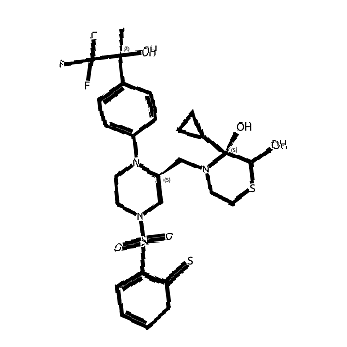 C[C@@](O)(c1ccc(N2CCN(S(=O)(=O)C3=CC=CCC3=S)C[C@@H]2CN2CCSC(O)[C@@]2(O)C2CC2)cc1)C(F)(F)F